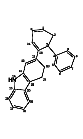 C1=CCC(c2ccccc2)C(C2=Cc3[nH]c4ccccc4c3CC2)=C1